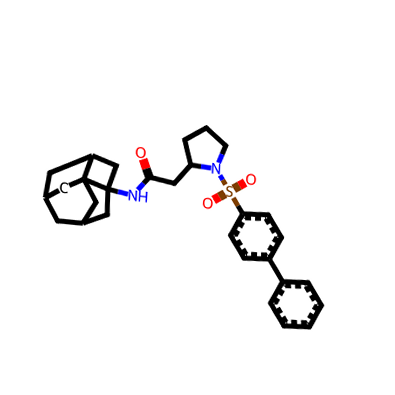 O=C(CC1CCCN1S(=O)(=O)c1ccc(-c2ccccc2)cc1)NC12CC3CC4CC(C1)C2(C4)C3